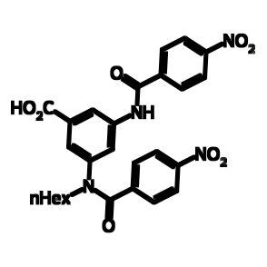 CCCCCCN(C(=O)c1ccc([N+](=O)[O-])cc1)c1cc(NC(=O)c2ccc([N+](=O)[O-])cc2)cc(C(=O)O)c1